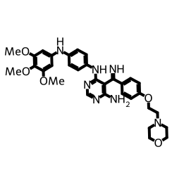 COc1cc(Nc2ccc(Nc3ncnc(N)c3C(=N)c3ccc(OCCN4CCOCC4)cc3)cc2)cc(OC)c1OC